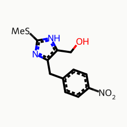 CSc1nc(Cc2ccc([N+](=O)[O-])cc2)c(CO)[nH]1